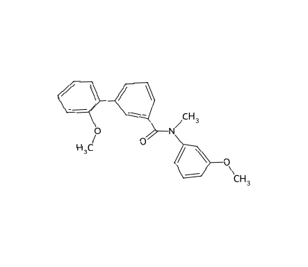 COc1cccc(N(C)C(=O)c2cccc(-c3ccccc3OC)c2)c1